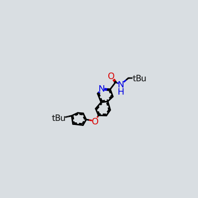 CC(C)(C)CNC(=O)c1cc2ccc(Oc3ccc(C(C)(C)C)cc3)cc2cn1